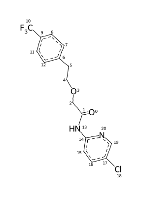 O=C(COCCc1ccc(C(F)(F)F)cc1)Nc1ccc(Cl)cn1